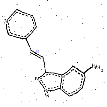 Nc1ccc2[nH]nc(/C=C/c3cccnc3)c2c1